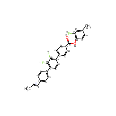 C/C=C/c1ccc(-c2ccc(-c3ccc(C(=O)Oc4ccc(C)cc4F)cc3)c(F)c2F)cc1